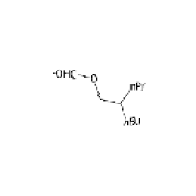 CCCCC(CCC)CO[C]=O